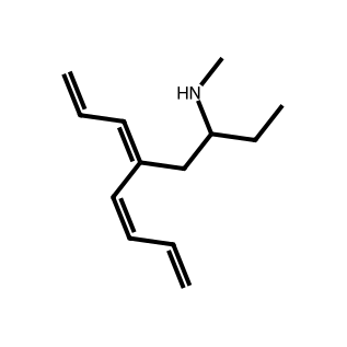 C=C/C=C\C(=C/C=C)CC(CC)NC